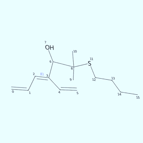 C=C/C=C(\C=C)C(O)C(C)(C)SCCCC